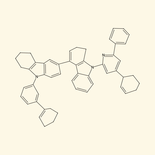 C1=CC(c2cc(-c3ccccc3)nc(-n3c4c(c5ccccc53)C(c3ccc5c(c3)c3c(n5-c5cccc(C6=CCCCC6)c5)CCCC3)=CCC4)c2)CCC1